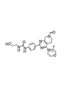 C[C@H]1COCCN1c1nc(-c2ccc(NC(=O)NCCO)cc2)nc2c1CCN(C=O)C2